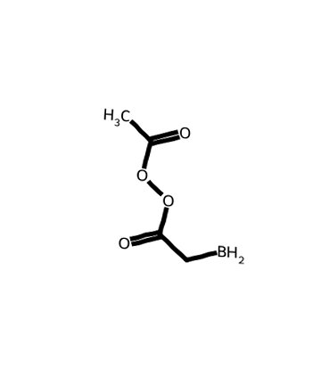 BCC(=O)OOC(C)=O